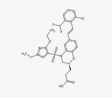 CCOc1nn(CC)cc1S(=O)(=O)N1C[C@H](CCC(=O)O)Oc2ccc(/C=C/c3c(Cl)cccc3C(F)F)cc21